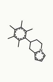 Cc1c(C)c(C)c(C2CCn3cccc3C2)c(C)c1C